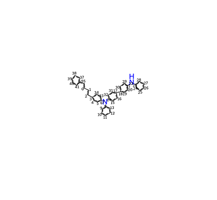 C(C=Cc1ccc(N(c2ccccc2)c2ccc(-c3ccc(Nc4ccccc4)cc3)cc2)cc1)=Cc1ccccc1